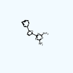 Nc1nc(N)nc(-c2ccc(-c3ccccc3)o2)n1